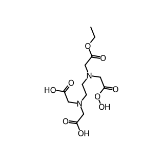 CCOC(=O)CN(CCN(CC(=O)O)CC(=O)O)CC(=O)OO